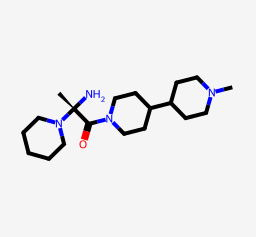 CN1CCC(C2CCN(C(=O)[C@@](C)(N)N3CCCCC3)CC2)CC1